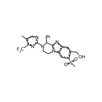 Cc1cnc(N2CCn3c(nc4cc(CO)c(S(C)(=O)=O)cc43)C2C(C)C)nc1C(F)(F)F